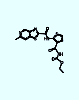 CCOC(=O)NC(=O)c1ccsc1NC(=O)c1nc2cnc(C)cc2s1